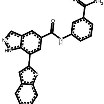 N=C(N)c1cccc(NC(=O)c2cc(-c3cc4ccccc4s3)c3[nH]ncc3c2)c1